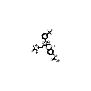 O=C(O)Nc1ccc2c(c1)NCC(CCc1noc(=O)[nH]1)(S(=O)(=O)c1cccc(C(F)(F)F)c1)O2